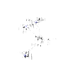 CC(=O)N/C(=C(\O)C(O)CCO)C(O)OCCOCCOCCNC(=O)CCC(CCC(=O)NCCOCCOCCOC(O)/C(NC(C)=O)=C(/O)C(O)CCO)(CCC(=O)NCCOCCOCCOC(O)/C(NC(C)=O)=C(/O)C(O)CCO)NC(=O)CCCC(=O)NCCCOC1CCCC(C2CCCC2)CC1